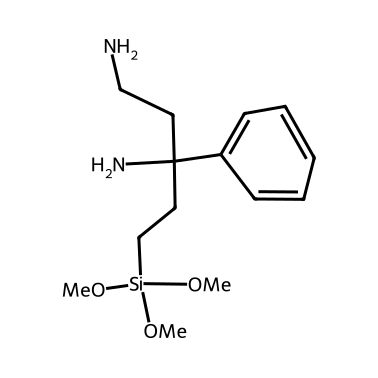 CO[Si](CCC(N)(CCN)c1ccccc1)(OC)OC